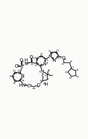 CC1(C)C[C@@H]2CN1c1nc(-n3ccc(OCCC4CCCC4)n3)ccc1C(=O)NS(=O)(=O)c1cccc(n1)NCCO2